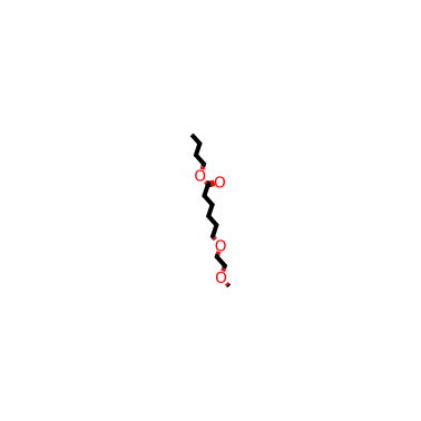 CCCCOC(=O)CCCCCOCCOC